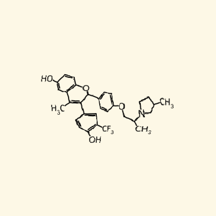 CC1=C(c2ccc(O)c(C(F)(F)F)c2)C(c2ccc(OCC(C)N3CCC(C)C3)cc2)Oc2ccc(O)cc21